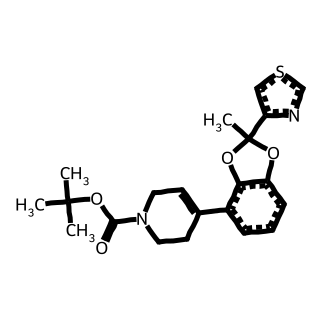 CC(C)(C)OC(=O)N1CC=C(c2cccc3c2OC(C)(c2cscn2)O3)CC1